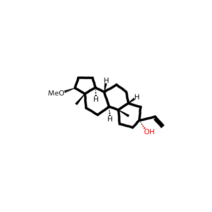 C=C[C@@]1(O)CC[C@@]2(C)[C@H](CC[C@@H]3[C@@H]2CC[C@]2(C)[C@@H](OC)CC[C@@H]32)C1